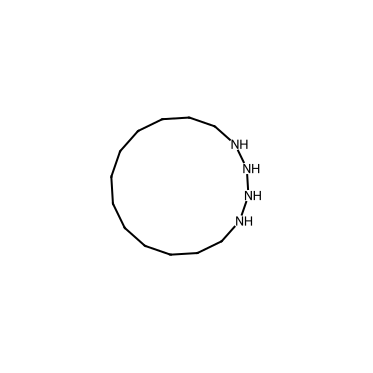 C1CCCCCCNNNNCCCCC1